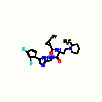 CC(C)C1CC1C(=O)N[C@@H](CCN1CCCC[C@@H]1C)C(=O)NCc1ncc(-c2ccc(F)cc2F)[nH]1